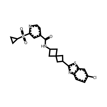 O=C(NC1CC2(C1)CC(c1nc3ccc(Cl)cc3s1)C2)c1ccnc(S(=O)(=O)C2CC2)c1